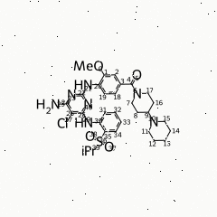 COc1cc(C(=O)N2CCC(N3CCCCC3)CC2)ccc1Nc1nc(N)c(Cl)c(Nc2ccccc2S(=O)(=O)C(C)C)n1